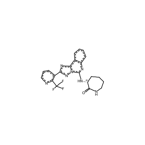 O=C1NCCCC[C@H]1Nc1nc2ccccc2c2nc(-c3cccnc3C(F)(F)F)nn12